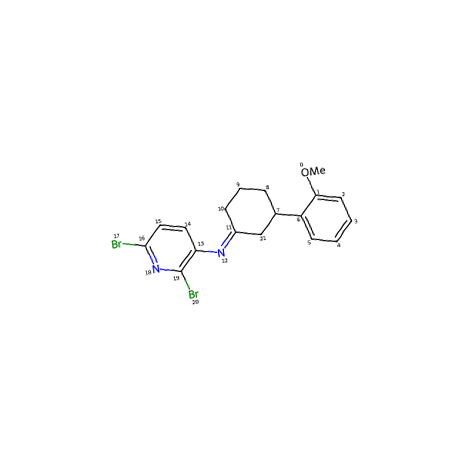 COc1ccccc1C1CCCC(=Nc2ccc(Br)nc2Br)C1